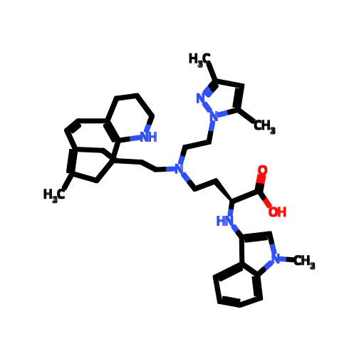 C/C1=C(CCCCN(CC[C@H](Nc2cn(C)c3ccccc23)C(=O)O)CCn2nc(C)cc2C)\C=C/C2=C(CC1)NCCC2